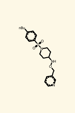 CCCCc1ccc(S(=O)(=O)N2CCC(NOCc3cccnc3)CC2)cc1